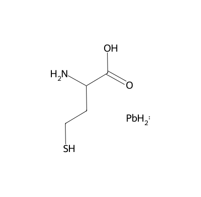 NC(CCS)C(=O)O.[PbH2]